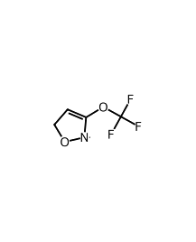 FC(F)(F)OC1=CCO[N]1